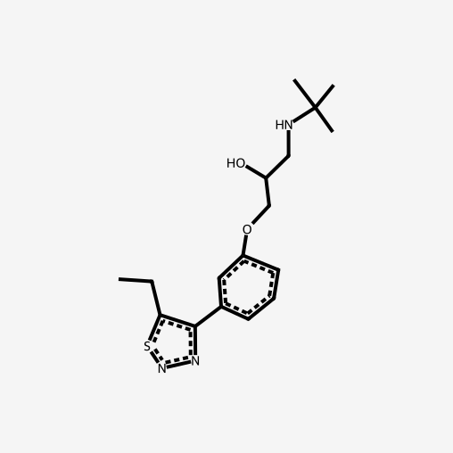 CCc1snnc1-c1cccc(OCC(O)CNC(C)(C)C)c1